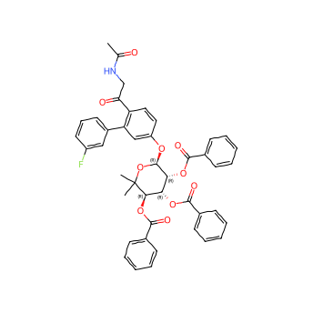 CC(=O)NCC(=O)c1ccc(O[C@@H]2OC(C)(C)[C@H](OC(=O)c3ccccc3)[C@@H](OC(=O)c3ccccc3)[C@H]2OC(=O)c2ccccc2)cc1-c1cccc(F)c1